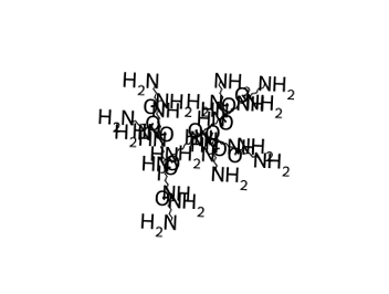 NCCCCC(N)C(=O)NCCCCC(I)C(=O)NC(CCCCNC(=O)C(CCCCNC(=O)C(N)CCCCN)NC(=O)C(N)CCCCN)C(=O)NCCCCCCNC(=O)C(CCCCNC(=O)C(CCCCNC(=O)C(N)CCCCN)NC(=O)C(N)CCCCN)NC(=O)C(CCCCNC(=O)C(N)CCCCN)NC(=O)C(N)CCCCN